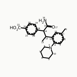 Cc1ccc(N2CCCCC2)c(C(C)C(C(N)=O)c2ccc(C(=O)O)cc2)c1